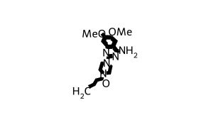 C=CCCC(=O)N1CCN(c2nc(N)c3cc(OC)c(OC)cc3n2)CC1